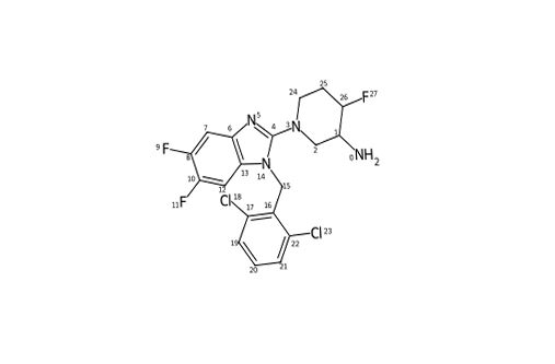 NC1CN(c2nc3cc(F)c(F)cc3n2Cc2c(Cl)cccc2Cl)CCC1F